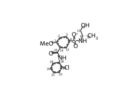 COc1ccc(S(=O)(=O)N[C@@H](C)CO)cc1C(=O)Nc1ccccc1Cl